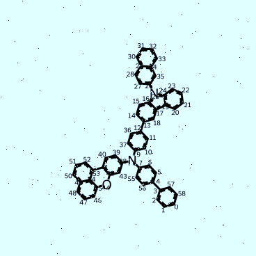 c1ccc(-c2ccc(N(c3ccc(-c4ccc5c(c4)c4ccccc4n5-c4ccc5ccccc5c4)cc3)c3ccc4c(c3)Oc3cccc5cccc-4c35)cc2)cc1